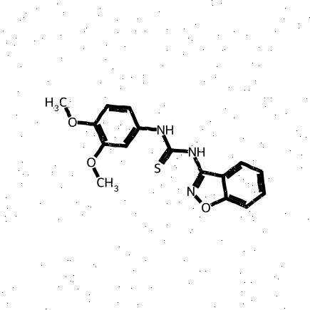 COc1ccc(NC(=S)Nc2noc3ccccc23)cc1OC